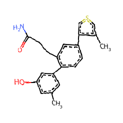 Cc1cc(O)cc(-c2ccc(-c3cscc3C)cc2CCC(N)=O)c1